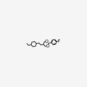 CCC1CCC(CCC2COC(c3ccc(F)cc3)OC2)CC1